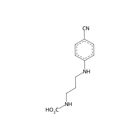 N#Cc1ccc(NCCCNC(=O)O)cc1